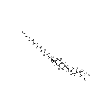 CCCCCCCCCCCCCCCCOc1ccc2cc(OCc3ccc(C(=O)C[C@H](C)CC)cc3)ccc2c1